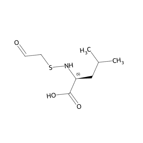 CC(C)C[C@H](NSCC=O)C(=O)O